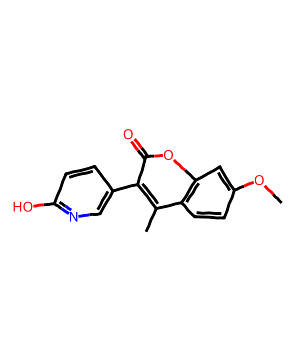 COc1ccc2c(C)c(-c3ccc(O)nc3)c(=O)oc2c1